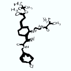 CC(C)C(=O)NCCNC1=C(C(=N)C(=O)NCc2ccc(Cl)cc2)CCC(CCC(=O)OC(C)(C)C)C1